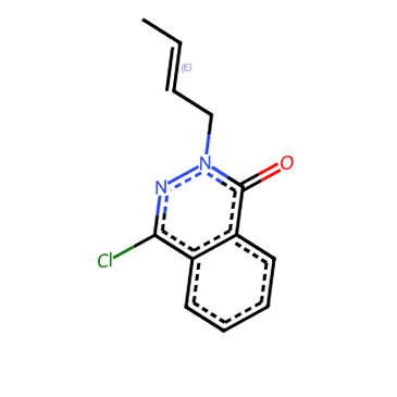 C/C=C/Cn1nc(Cl)c2ccccc2c1=O